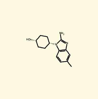 Cc1ccc2c(c1)nc(N)n2[C@H]1CC[C@@H](O)CC1